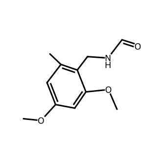 COc1cc(C)c(CNC=O)c(OC)c1